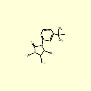 CC1C(O)N(c2cc(C(C)(C)F)ccn2)C(=O)N1C